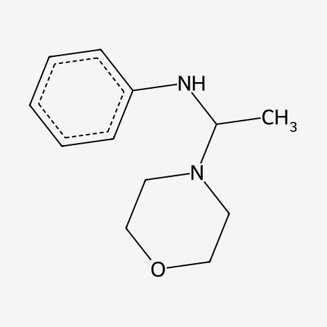 CC(Nc1ccccc1)N1CCOCC1